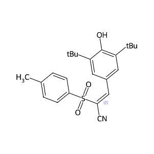 Cc1ccc(S(=O)(=O)/C(C#N)=C\c2cc(C(C)(C)C)c(O)c(C(C)(C)C)c2)cc1